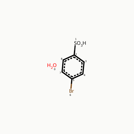 O.O=S(=O)(O)c1ccc(Br)cc1